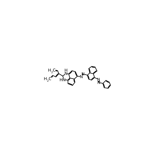 C=C/C=C(\C=C)C1Nc2cccc3c(/N=N/c4ccc(/N=N/c5ccccc5)c5ccccc45)ccc(c23)N1